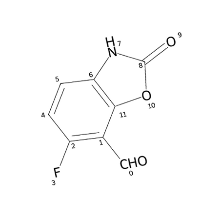 O=Cc1c(F)ccc2[nH]c(=O)oc12